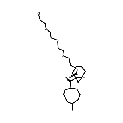 CC1CCCC(C(=O)C23CCCC[C@@]2(C(=O)OCCOCCOCCOCCCl)C3)CCC1